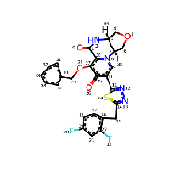 O=C1N[C@@H]2COC[C@@H]2n2cc(-c3nnc(Cc4ccc(F)cc4F)s3)c(=O)c(OCc3ccccc3)c21